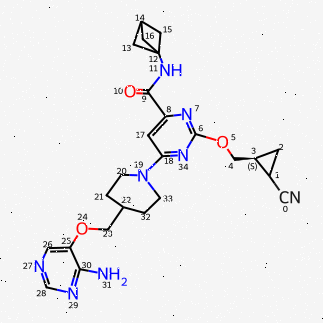 N#CC1C[C@@H]1COc1nc(C(=O)NC23CC(C2)C3)cc(N2CCC(COc3cncnc3N)CC2)n1